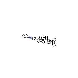 CC1(C)c2cc(-c3ccc(/C=C/c4ccc5ccccc5c4)cc3)ccc2-c2ccc(-c3ccc(-n4c5ccccc5c5ccccc54)cc3)cc21